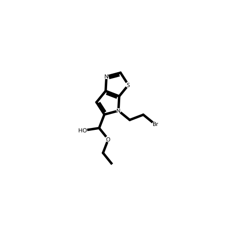 CCOC(O)c1cc2ncsc2n1CCBr